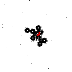 c1ccc(-c2ccc3c4c(-c5ccccc5)cccc4n(-c4ccccc4-c4nc(-c5ccccc5)nc(-n5c6ccccc6c6ccccc65)n4)c3c2)cc1